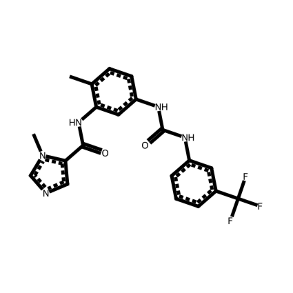 Cc1ccc(NC(=O)Nc2cccc(C(F)(F)F)c2)cc1NC(=O)c1cncn1C